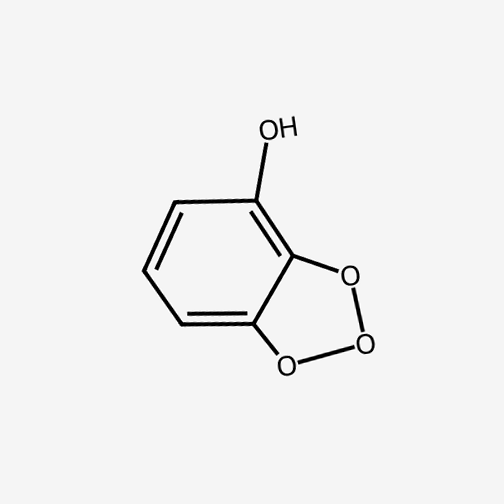 Oc1cccc2c1OOO2